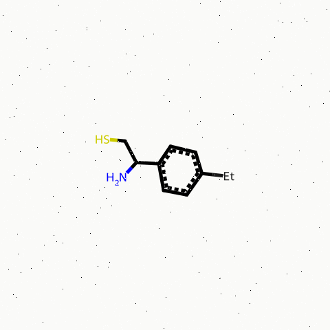 CCc1ccc(C(N)CS)cc1